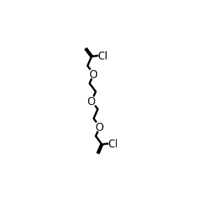 C=C(Cl)COCCOCCOCC(=C)Cl